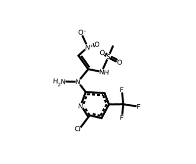 CS(=O)(=O)N/C(=C\[N+](=O)[O-])N(N)c1cc(C(F)(F)F)cc(Cl)n1